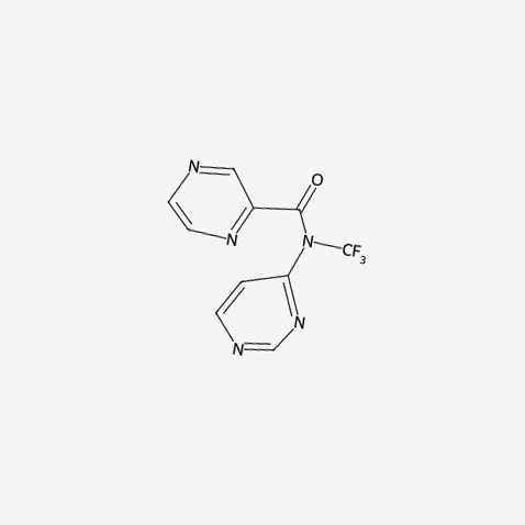 O=C(c1cnccn1)N(c1ccncn1)C(F)(F)F